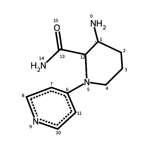 N[C]1CCCN(c2ccncc2)C1C(N)=O